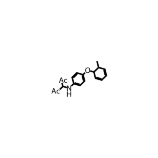 CC(=O)C(Nc1ccc(OC2C=CC=CC2C)cc1)C(C)=O